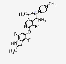 C=C/C=C(\C(N)c1ncnc(Oc2cc(F)c3[nH]c(C)cc3c2F)c1Br)N1CCN(C)CC1